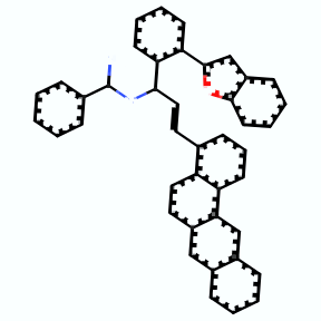 NC(NC(/C=C/c1cccc2c1ccc1cc3ccccc3cc12)c1ccccc1-c1cc2ccccc2o1)c1ccccc1